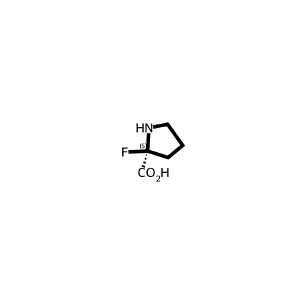 O=C(O)[C@@]1(F)CCCN1